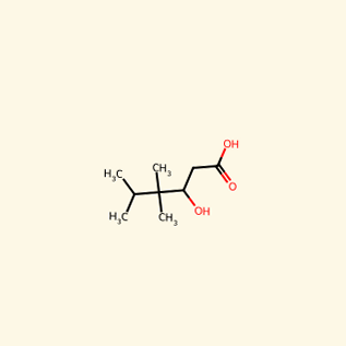 CC(C)C(C)(C)C(O)CC(=O)O